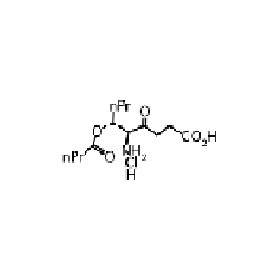 CCCC(=O)OC(CCC)C(N)C(=O)CCC(=O)O.Cl